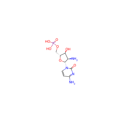 Nc1ccn([C@@H]2O[C@H](COP(=O)(O)O)[C@@H](O)[C@H]2N)c(=O)n1